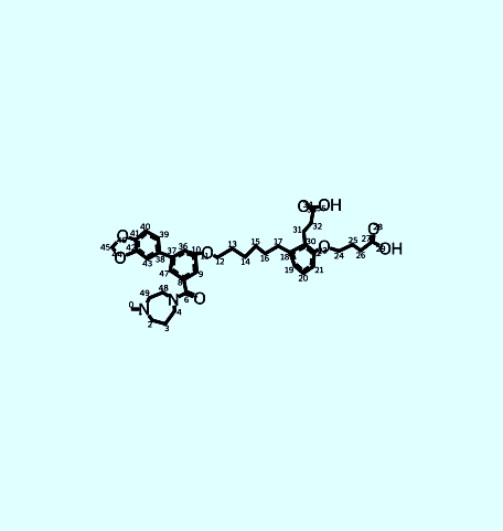 CN1CCCN(C(=O)c2cc(OCCCCCCc3cccc(OCCCC(=O)O)c3CCC(=O)O)cc(-c3ccc4c(c3)OCO4)c2)CC1